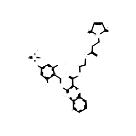 COc1cc(OP(=O)(O)O)cc(OC)c1COc1nc2ccccc2nc1C(=O)NCCNC(=O)CCN1C(=O)C=CC1=O